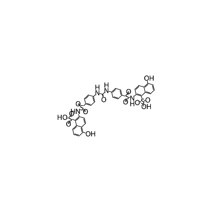 O=C(Nc1ccc(S(=O)(=O)Nc2ccc3c(O)cccc3c2S(=O)(=O)O)cc1)Nc1ccc(S(=O)(=O)Nc2ccc3c(O)cccc3c2S(=O)(=O)O)cc1